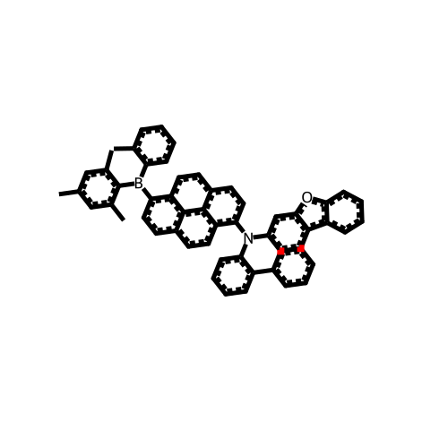 Cc1cc(C)c(B(c2ccccc2C)c2ccc3ccc4c(N(c5ccc6c(c5)oc5ccccc56)c5ccccc5-c5ccccc5)ccc5ccc2c3c54)c(C)c1